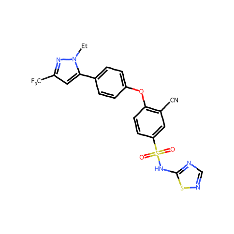 CCn1nc(C(F)(F)F)cc1-c1ccc(Oc2ccc(S(=O)(=O)Nc3ncns3)cc2C#N)cc1